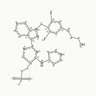 CS(=O)(=O)CCc1cnc(-c2nn(Cc3c(F)cc(OCCO)cc3F)c3ccccc23)nc1Nc1ccncc1